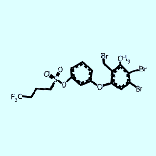 Cc1c(Br)c(Br)cc(Oc2cccc(OS(=O)(=O)CCCC(F)(F)F)c2)c1CBr